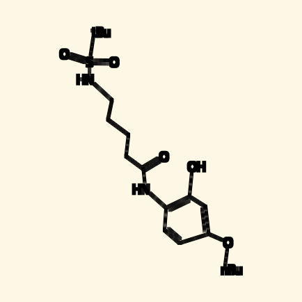 CCCCOc1ccc(NC(=O)CCCCNS(=O)(=O)C(C)(C)C)c(O)c1